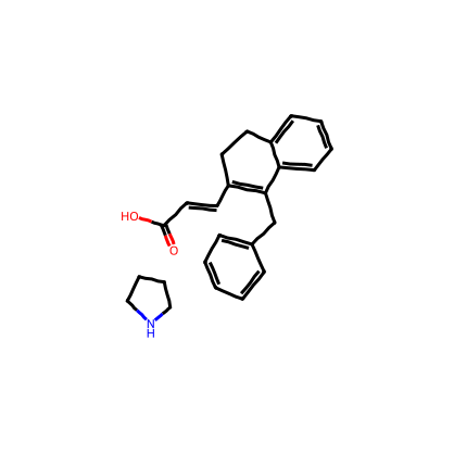 C1CCNC1.O=C(O)/C=C/C1=C(Cc2ccccc2)c2ccccc2CC1